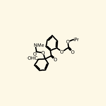 CNC(=O)OC1(C(=O)c2ccccc2OC(=O)OC(C)C)C=CC=CC1[C]=O